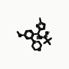 COc1ccc(C(N[S+]([O-])C(C)(C)C)c2ccc(C)o2)c(N2CCOCC2)c1